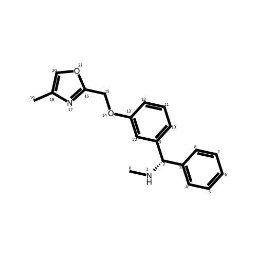 CN[C@@H](c1ccccc1)c1cccc(OCc2nc(C)co2)c1